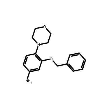 Nc1ccc(N2CCOCC2)c(OCc2ccccc2)c1